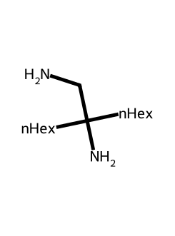 CCCCCCC(N)(CN)CCCCCC